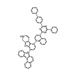 C1=Cc2c(oc3c(-n4c5ccccc5c5c6ccccc6ccc54)ccc(-c4ccc(-c5nc(-c6ccccc6)nc(-c6ccc(-c7ccccc7)cc6)n5)c5ccccc45)c23)CN1